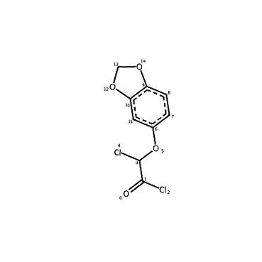 O=C(Cl)C(Cl)Oc1ccc2c(c1)OCO2